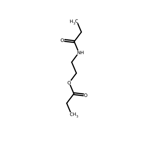 CCC(=O)NCCOC(=O)CC